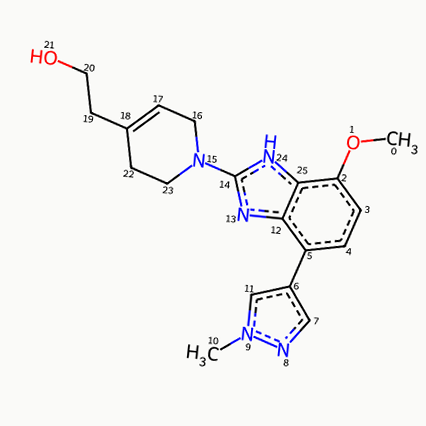 COc1ccc(-c2cnn(C)c2)c2nc(N3CC=C(CCO)CC3)[nH]c12